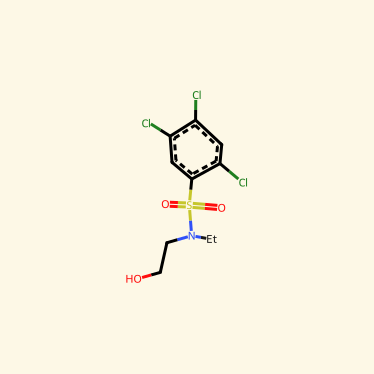 CCN(CCO)S(=O)(=O)c1cc(Cl)c(Cl)cc1Cl